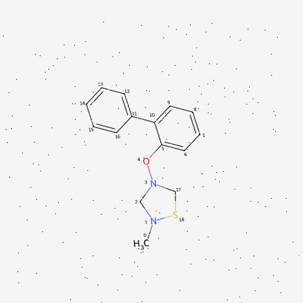 CN1CN(Oc2ccccc2-c2ccccc2)CS1